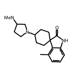 CNC1CCN(C2CCC3(CC2)C(=O)Nc2cccc(C)c23)C1